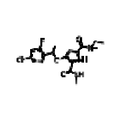 CCNC(=O)c1cc(OC(C)c2ccc(Cl)cc2F)c(C(=O)NC)[nH]1